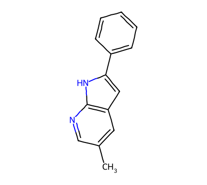 Cc1cnc2[nH]c(-c3ccccc3)cc2c1